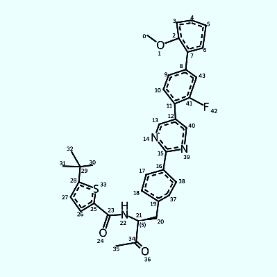 COc1ccccc1-c1ccc(-c2cnc(-c3ccc(C[C@H](NC(=O)c4ccc(C(C)(C)C)s4)C(C)=O)cc3)nc2)c(F)c1